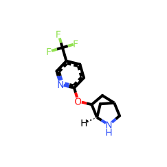 FC(F)(F)c1ccc(OC2CC3CN[C@@H]2C3)nc1